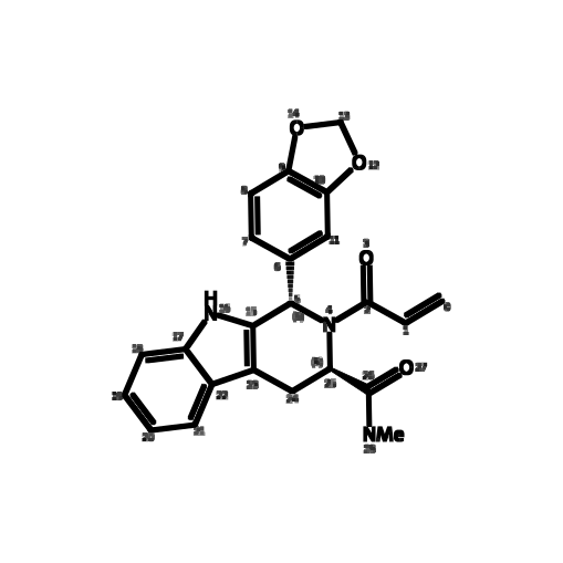 C=CC(=O)N1[C@@H](c2ccc3c(c2)OCO3)c2[nH]c3ccccc3c2C[C@@H]1C(=O)NC